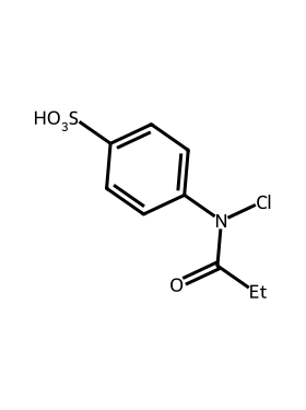 CCC(=O)N(Cl)c1ccc(S(=O)(=O)O)cc1